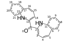 O=C(C1=CC=Cc2ccccc2N1)C1=CC=Cc2ccccc2N1